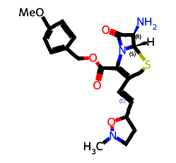 COc1ccc(COC(=O)C2=C(/C=C/C3CCN(C)O3)CS[C@H]3[C@H](N)C(=O)N23)cc1